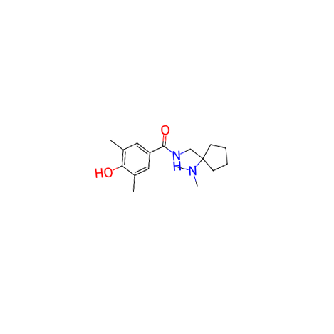 Cc1cc(C(=O)NCC2(N(C)C)CCCC2)cc(C)c1O